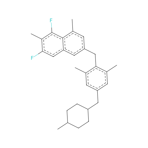 Cc1cc(CC2CCC(C)CC2)cc(C)c1Cc1cc(C)c2c(F)c(C)c(F)cc2c1